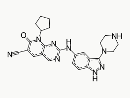 N#Cc1cc2cnc(Nc3ccc4[nH]nc(N5CCNCC5)c4c3)nc2n(C2CCCC2)c1=O